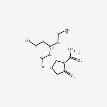 Cl.O=C(O)N1CCCC1=O.OCCN(CCO)CCO